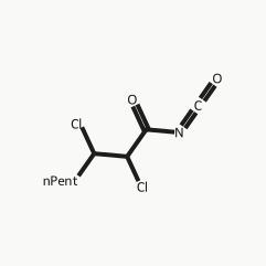 CCCCCC(Cl)C(Cl)C(=O)N=C=O